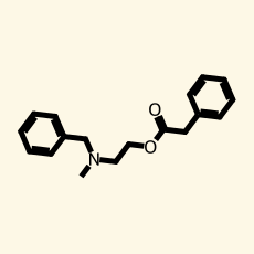 CN(CCOC(=O)Cc1ccccc1)Cc1ccccc1